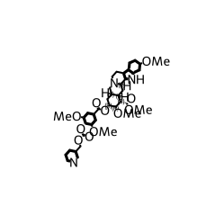 COC(=O)[C@H]1[C@H]2C[C@@H]3c4[nH]c5cc(OC)ccc5c4CCN3C[C@H]2C[C@@H](OC(=O)c2cc(OC)c(OC(=O)OCc3cccnc3)c(OC)c2)[C@@H]1OC